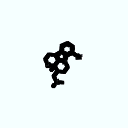 CN(C)CC1CCn2c3c(c4cccc(Br)c42)CCOC31C